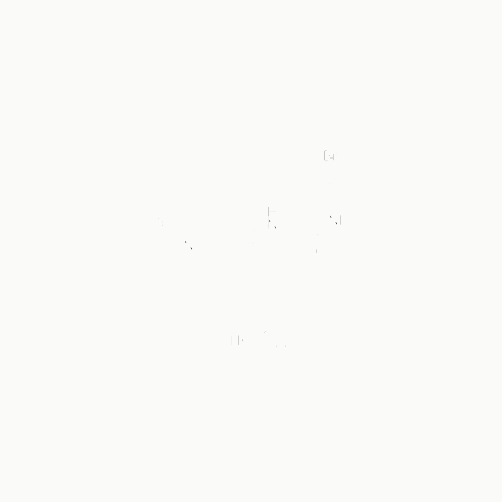 O=C(O)CCc1ccc(C(Nc2ccc(CN3CCOCC3)cc2)=C2C(=O)Nc3cc(Br)ccc32)cc1